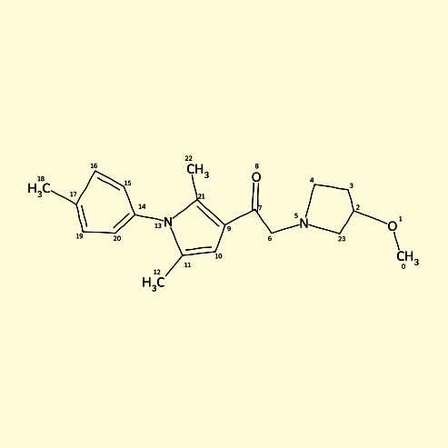 COC1CCN(CC(=O)c2cc(C)n(-c3ccc(C)cc3)c2C)C1